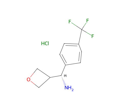 Cl.N[C@@H](c1ccc(C(F)(F)F)cc1)C1COC1